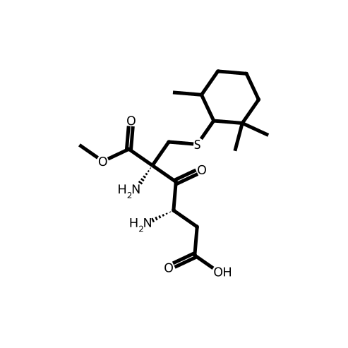 COC(=O)[C@@](N)(CSC1C(C)CCCC1(C)C)C(=O)[C@@H](N)CC(=O)O